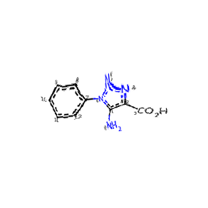 Nc1c(C(=O)O)nnn1-c1ccccc1